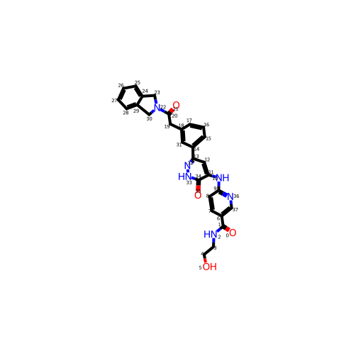 O=C(NCCO)c1ccc(Nc2cc(-c3cccc(CC(=O)N4Cc5ccccc5C4)c3)n[nH]c2=O)nc1